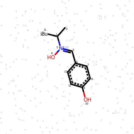 CCC(C)C(C)/[N+](O)=C/c1ccc(O)cc1